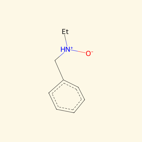 CC[NH+]([O-])Cc1ccccc1